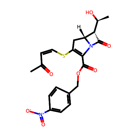 CC(=O)/C=C\SC1=C(C(=O)OCc2ccc([N+](=O)[O-])cc2)N2C(=O)[C@@H]([C@H](C)O)[C@H]2C1